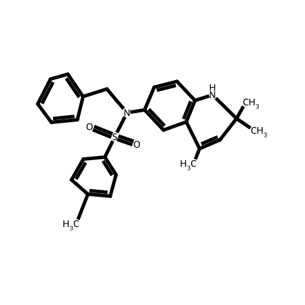 CC1=CC(C)(C)Nc2ccc(N(Cc3ccccc3)S(=O)(=O)c3ccc(C)cc3)cc21